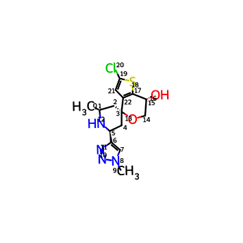 C[C@H]1C[C@@]2(C[C@@H](c3cn(C)nn3)N1)OC[C@@H](O)c1sc(Cl)cc12